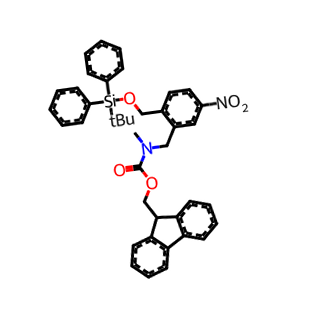 CN(Cc1cc([N+](=O)[O-])ccc1CO[Si](c1ccccc1)(c1ccccc1)C(C)(C)C)C(=O)OCC1c2ccccc2-c2ccccc21